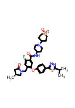 CC(C)c1nnc(-c2ccc(Oc3cc(C(=O)NC4CCN(C5CCS(=O)(=O)CC5)CC4)c(F)cc3CN3C[C@@H](C)CC3=O)cc2)s1